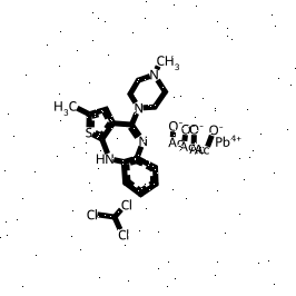 CC(=O)[O-].CC(=O)[O-].CC(=O)[O-].CC(=O)[O-].Cc1cc2c(s1)Nc1ccccc1N=C2N1CCN(C)CC1.ClC(Cl)Cl.[Pb+4]